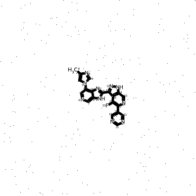 Cc1cn(-c2cncc3[nH]c(-c4n[nH]c5cnc(-c6cncnc6)c(F)c45)nc23)cn1